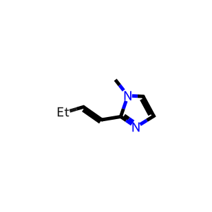 CCC=Cc1nccn1C